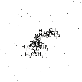 CC(C)c1cc(C(C)C)c(C(=O)Nc2nnc(NCCC(=O)OC(C)(C)C)s2)c(C(C)C)c1